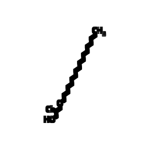 CCCCCCCCCCCCCCCCCCOCC(Cl)CO